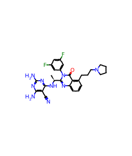 C[C@H](Nc1nc(N)nc(N)c1C#N)c1nc2cccc(CCCN3CCCC3)c2c(=O)n1-c1cc(F)cc(F)c1